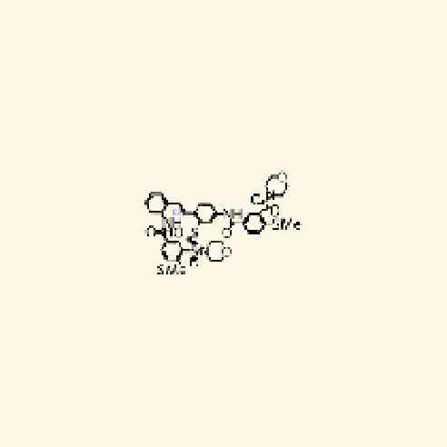 CSc1ccc(C(=O)Nc2ccc(/C=C/c3ccccc3NC(=O)c3ccc(SC)c(S(=O)(=O)N4CCOCC4)c3)c(S(=O)(=O)O)c2)cc1S(=O)(=O)N1CCOCC1